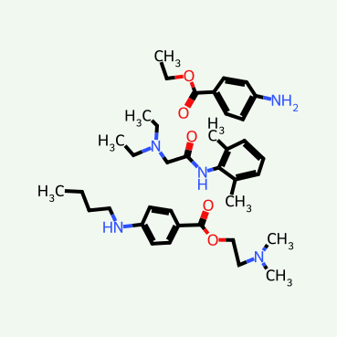 CCCCNc1ccc(C(=O)OCCN(C)C)cc1.CCN(CC)CC(=O)Nc1c(C)cccc1C.CCOC(=O)c1ccc(N)cc1